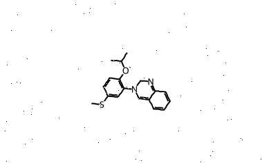 CSc1ccc(OC(C)C)c(N2C=c3ccccc3=NC2)c1